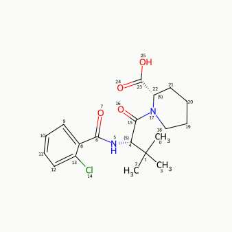 CC(C)(C)[C@H](NC(=O)c1ccccc1Cl)C(=O)N1CCCC[C@H]1C(=O)O